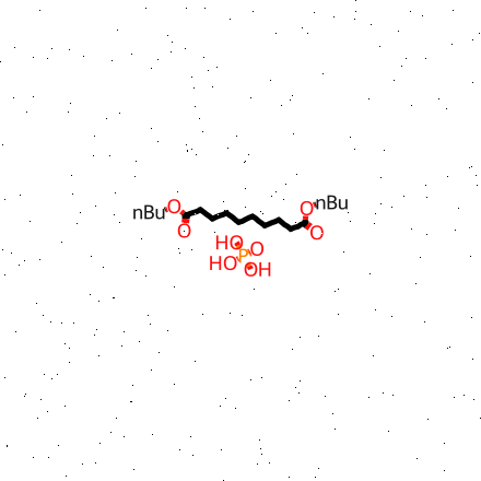 CCCCOC(=O)CCCCCCCCC(=O)OCCCC.O=P(O)(O)O